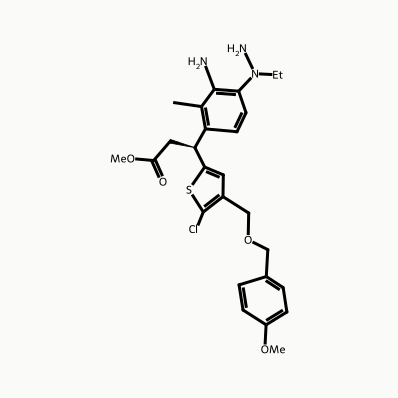 CCN(N)c1ccc([C@H](CC(=O)OC)c2cc(COCc3ccc(OC)cc3)c(Cl)s2)c(C)c1N